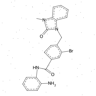 Cn1c(=O)n(Cc2ccc(C(=O)Nc3ccccc3N)cc2Br)c2ccccc21